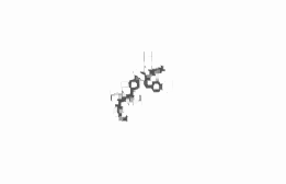 CC(C)(C)OC(=O)N[C@H]1CSc2cc(F)c(C(=O)NNC(=O)C(C)(C)O[Si](C)(C)C(C)(C)C)cc2N(Cc2ccc(Cl)cc2)C1=O